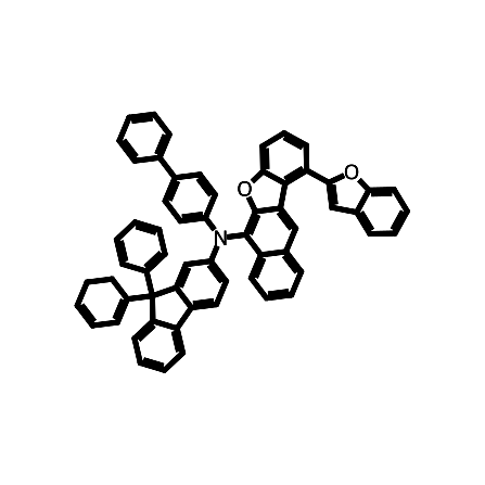 C1=CCCC(C2(c3ccccc3)c3ccccc3-c3ccc(N(c4ccc(-c5ccccc5)cc4)c4c5ccccc5cc5c4oc4cccc(-c6cc7ccccc7o6)c45)cc32)=C1